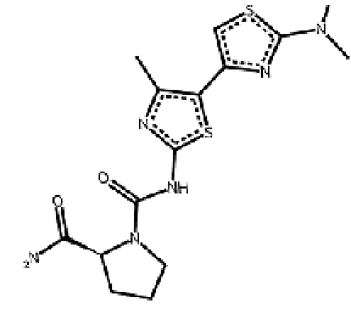 Cc1nc(NC(=O)N2CCC[C@H]2C(N)=O)sc1-c1csc(N(C)C)n1